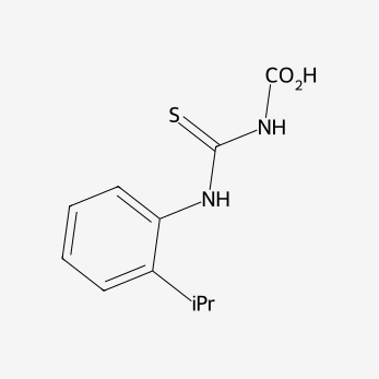 CC(C)c1ccccc1NC(=S)NC(=O)O